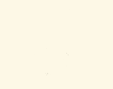 COc1cc(S(C)(=O)=O)cc(C(=O)N2Cc3ccc(C4CCOCC4)cc3C2)c1C1CCC1